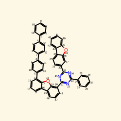 c1ccc(-c2ccc(-c3ccc(-c4cccc5c4oc4c(-c6nc(-c7ccccc7)nc(-c7ccc8c(c7)oc7ccccc78)n6)cccc45)cc3)cc2)cc1